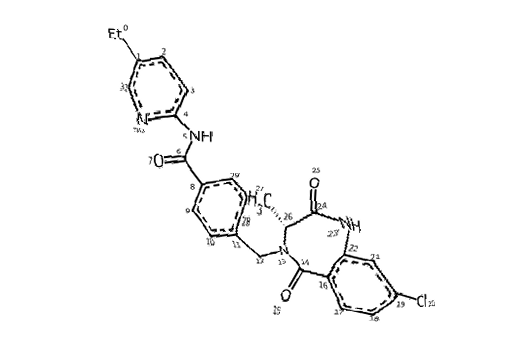 CCc1ccc(NC(=O)c2ccc(CN3C(=O)c4ccc(Cl)cc4NC(=O)[C@H]3C)cc2)nc1